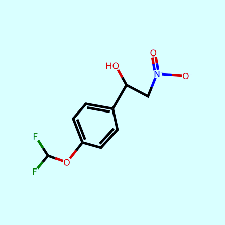 O=[N+]([O-])CC(O)c1ccc(OC(F)F)cc1